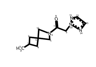 CC1CC2(C1)CN(C(=O)Cn1nccn1)C2